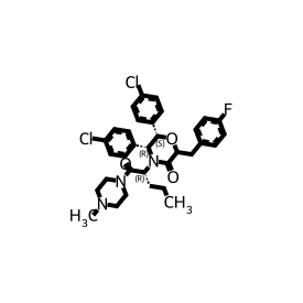 CCC[C@H](C(=O)N1CCN(C)CC1)N1C(=O)C(Cc2ccc(F)cc2)O[C@@H](c2ccc(Cl)cc2)[C@H]1c1ccc(Cl)cc1